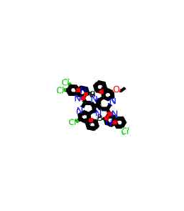 CCOc1ccc(-c2c3/c(=C(\C#N)c4cnc5cc(Cl)ccc5n4)n(B(c4ccccc4)c4ccccc4)c(-c4ccc(Cl)cc4)c3/c(=C(\C#N)c3cnc4cc(Cl)c(Cl)cc4n3)n2B(c2ccccc2)c2ccccc2)cc1